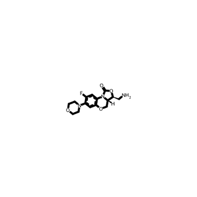 NC[C@@H]1OC(=O)N2c3cc(F)c(N4CCOCC4)cc3OC[C@@H]12